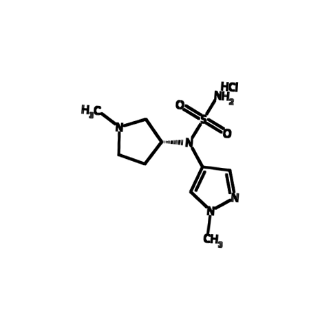 CN1CC[C@@H](N(c2cnn(C)c2)S(N)(=O)=O)C1.Cl